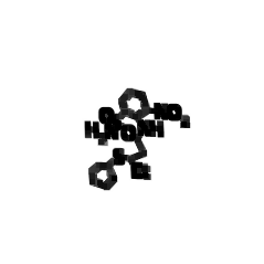 CCC(CCNc1c([N+](=O)[O-])cccc1S(N)(=O)=O)Sc1ccccc1